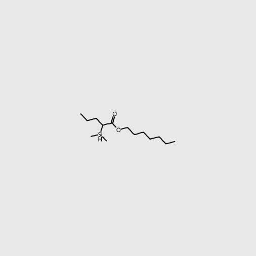 CCCCCCCOC(=O)C(CCC)[SiH](C)C